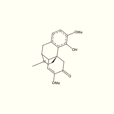 COC1=CC2C3Cc4ccc(OC)c(O)c4[C@]2(CCN3C)CC1=O